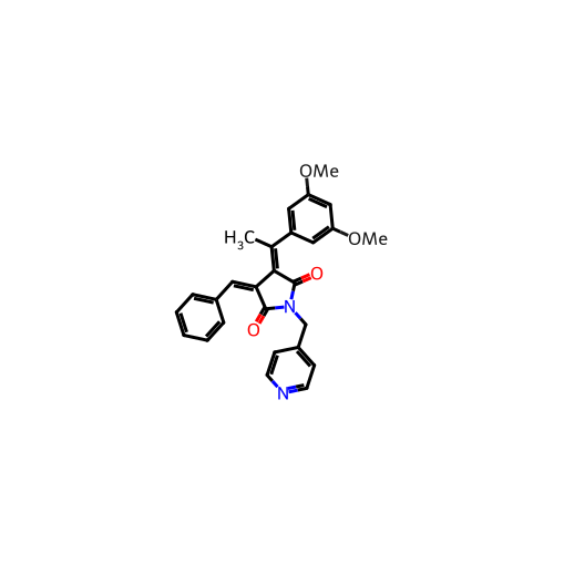 COc1cc(OC)cc(C(C)=C2C(=O)N(Cc3ccncc3)C(=O)C2=Cc2ccccc2)c1